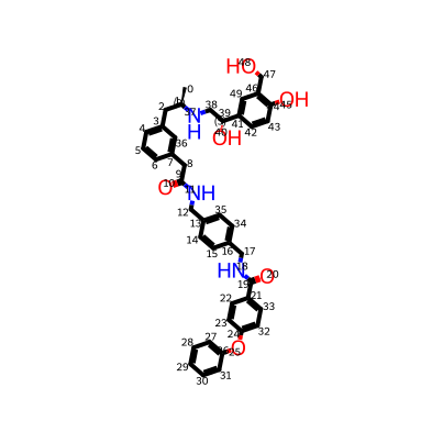 C[C@H](Cc1cccc(CC(=O)NCc2ccc(CNC(=O)c3ccc(Oc4ccccc4)cc3)cc2)c1)NC[C@@H](O)c1ccc(O)c(CO)c1